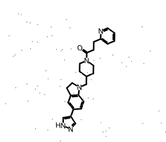 O=C(CCc1ccccn1)N1CCC(CN2CCc3cc(-c4cn[nH]c4)ccc32)CC1